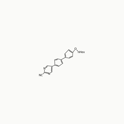 CCCCCCOc1ccc(-c2ccc(-c3cnc(C#N)nc3)cc2)cc1